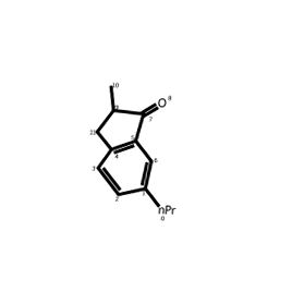 CCCc1ccc2c(c1)C(=O)C(C)C2